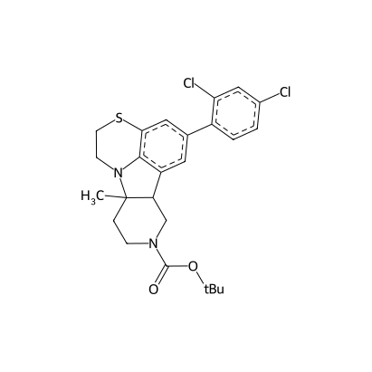 CC(C)(C)OC(=O)N1CCC2(C)C(C1)c1cc(-c3ccc(Cl)cc3Cl)cc3c1N2CCS3